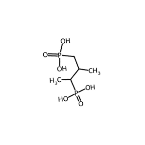 CC(CP(=O)(O)O)C(C)P(=O)(O)O